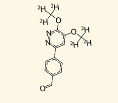 [2H]C([2H])([2H])Oc1cc(-c2ccc(C=O)cc2)nnc1OC([2H])([2H])[2H]